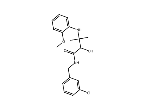 COc1ccccc1NC(C)(C)C(O)C(=O)NCc1cccc(Cl)c1